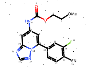 COCCOC(=O)Nc1cc(-c2ccc(C#N)c(F)c2)n2ncnc2c1